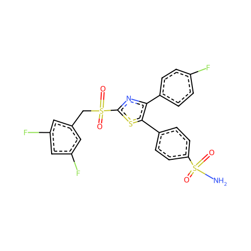 NS(=O)(=O)c1ccc(-c2sc(S(=O)(=O)Cc3cc(F)cc(F)c3)nc2-c2ccc(F)cc2)cc1